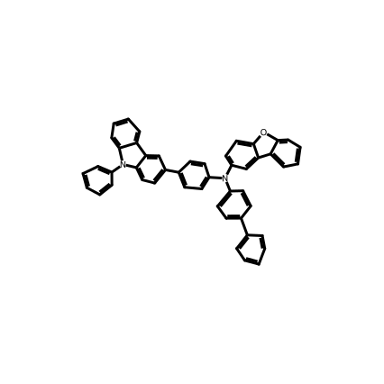 c1ccc(-c2ccc(N(c3ccc(-c4ccc5c(c4)c4ccccc4n5-c4ccccc4)cc3)c3ccc4oc5ccccc5c4c3)cc2)cc1